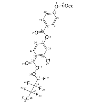 CCCCCCCCOc1ccc(C(=O)Oc2ccc(C(=O)OOC(F)C(F)(F)C(F)(F)C(F)(F)F)c(Cl)c2)cc1